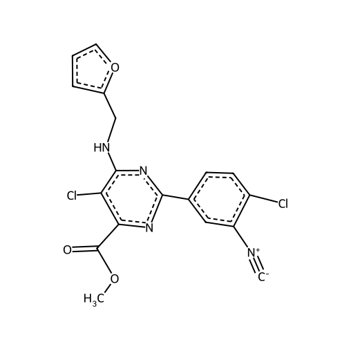 [C-]#[N+]c1cc(-c2nc(NCc3ccco3)c(Cl)c(C(=O)OC)n2)ccc1Cl